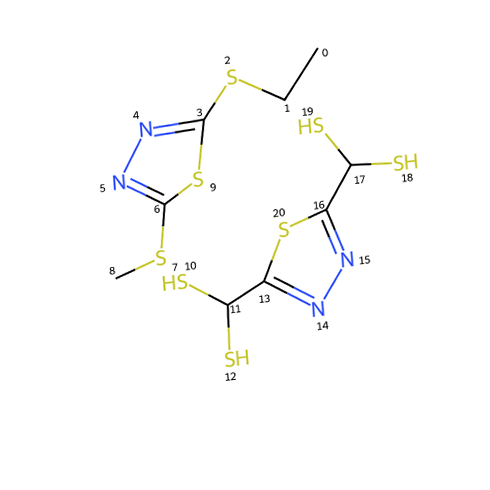 CCSc1nnc(SC)s1.SC(S)c1nnc(C(S)S)s1